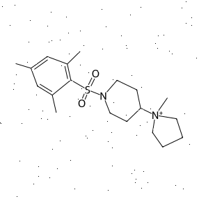 Cc1cc(C)c(S(=O)(=O)N2CCC([N+]3(C)CCCC3)CC2)c(C)c1